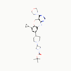 CC(C)(C)OC(=O)N1CC(N2CCC(c3cc4c(c(C5CC5)c3)OCc3c(ncnc3N3CCOCC3)N4)CC2)C1